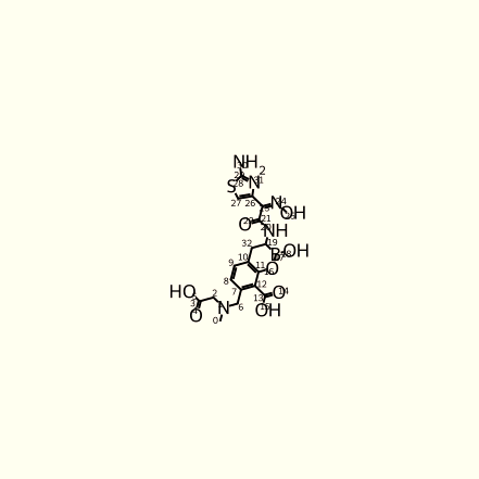 CN(CC(=O)O)Cc1ccc2c(c1C(=O)O)OB(O)C(NC(=O)C(=NO)c1csc(N)n1)C2